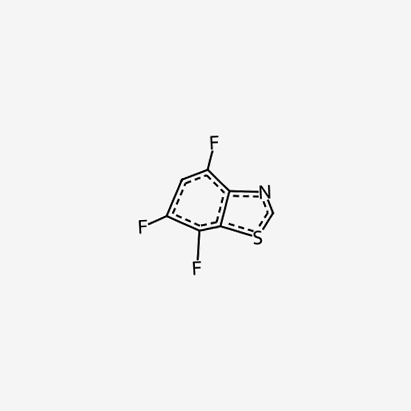 Fc1cc(F)c2ncsc2c1F